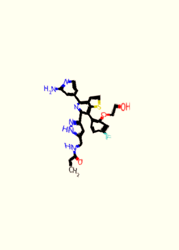 C=CC(=O)NCc1cc(-c2nc(-c3ccnc(N)c3)c3ccsc3c2-c2ccc(F)cc2OCCO)n[nH]1